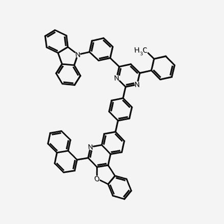 CC1CC=CC=C1c1cc(-c2cccc(-n3c4ccccc4c4ccccc43)c2)nc(-c2ccc(-c3ccc4c(c3)nc(-c3cccc5ccccc35)c3oc5ccccc5c34)cc2)n1